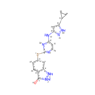 O=c1[nH][nH]c2cc(Sc3nccc(Nc4cc(C5CC5)[nH]n4)n3)ccc12